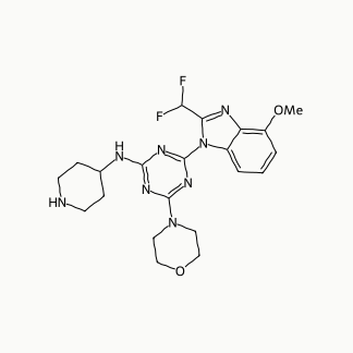 COc1cccc2c1nc(C(F)F)n2-c1nc(NC2CCNCC2)nc(N2CCOCC2)n1